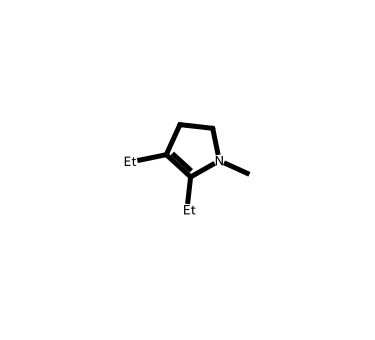 CCC1=C(CC)N(C)CC1